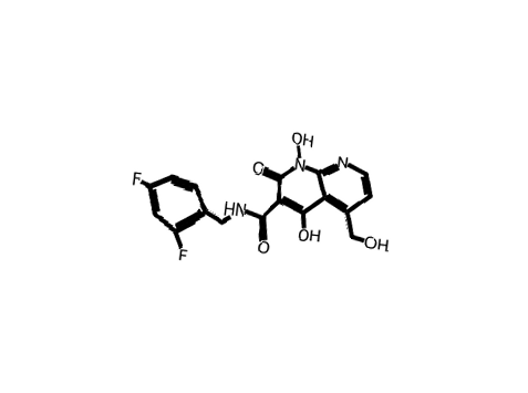 O=C(NCc1ccc(F)cc1F)c1c(O)c2c(CO)ccnc2n(O)c1=O